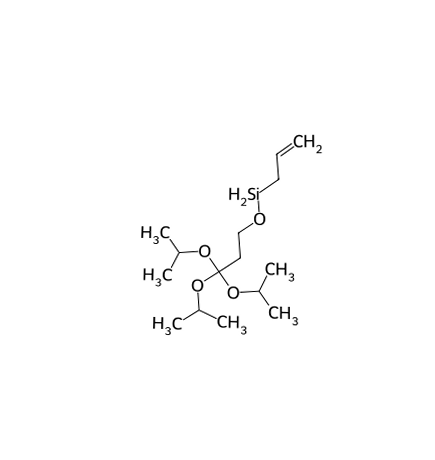 C=CC[SiH2]OCCC(OC(C)C)(OC(C)C)OC(C)C